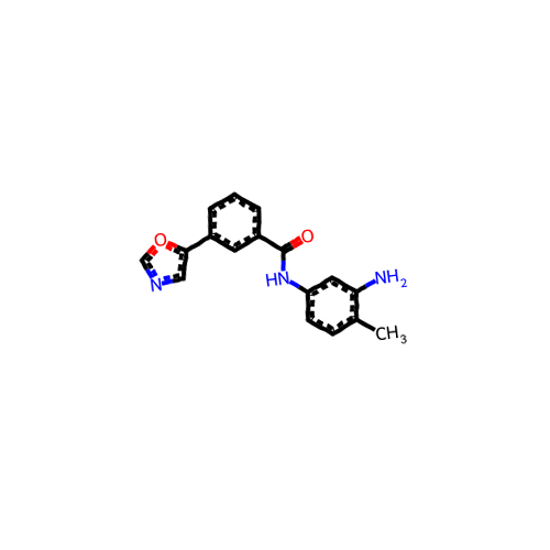 Cc1ccc(NC(=O)c2cccc(-c3cnco3)c2)cc1N